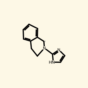 [C]1c2ccccc2CCN1c1ncc[nH]1